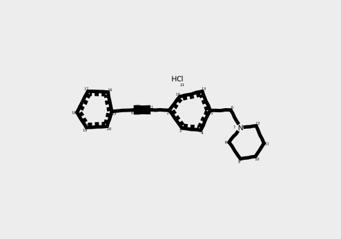 C(#Cc1ccc(CN2CCCCC2)cc1)c1ccccc1.Cl